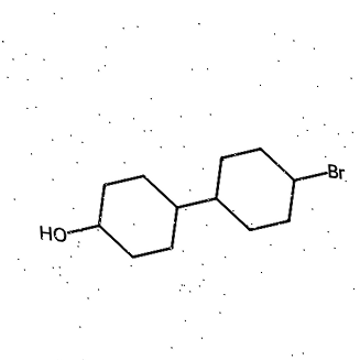 OC1CCC(C2CCC(Br)CC2)CC1